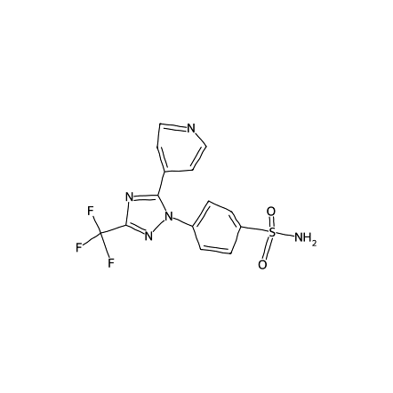 NS(=O)(=O)c1ccc(-n2nc(C(F)(F)F)nc2-c2ccncc2)cc1